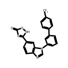 O=c1nc(-c2ccc3ncn(-c4cccc(-c5ccc(C(F)(F)F)cc5)c4)c3c2)[nH]o1